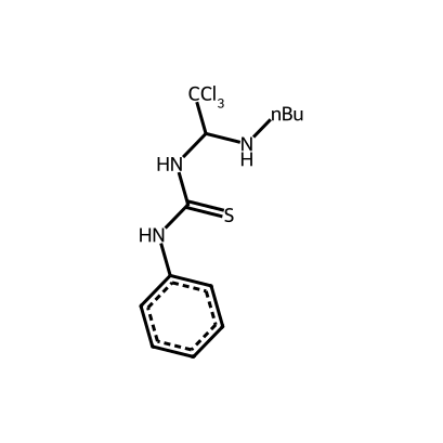 CCCCNC(NC(=S)Nc1ccccc1)C(Cl)(Cl)Cl